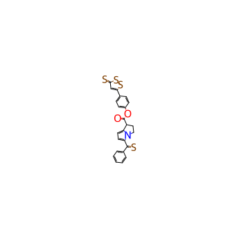 O=C(Oc1ccc(-c2cc(=S)ss2)cc1)C1CCn2c(C(=S)c3ccccc3)ccc21